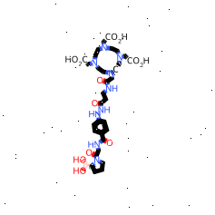 O=C(O)CN1CCN(CC(=O)O)CCN(CC(=O)NCCC(=O)NNc2ccc(C(=O)NCC(=O)N3CCC[C@H]3B(O)O)cc2)CCN(CC(=O)O)CC1